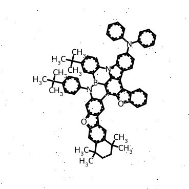 CC(C)(C)c1ccc(N2B3c4cc(C(C)(C)C)ccc4-n4c5cc(N(c6ccccc6)c6ccccc6)ccc5c5c6c(oc7ccccc76)c(c3c54)-c3cc4c(cc32)oc2cc3c(cc24)C(C)(C)CCC3(C)C)cc1